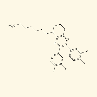 O=C(O)CCCCCCN1CCCc2nc(-c3ccc(F)c(F)c3)c(-c3ccc(F)c(F)c3)nc21